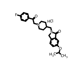 CC(C)Oc1ccc2c(c1)C(=O)N(CC1CCN(CC(=O)c3ccc(F)cc3)CC1)C2.Cl